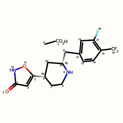 CC(=O)O.O=c1cc([C@H]2CCN[C@@H](Cc3ccc(C(F)(F)F)c(F)c3)C2)o[nH]1